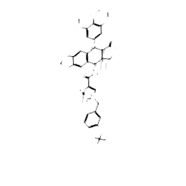 COc1cc([C@@H]2c3cc4c(cc3[C@@H](NC(=O)c3cn(Cc5cccc(OC(F)(F)F)c5)nn3)[C@H]3COC(=O)[C@H]23)OCO4)cc(OC)c1OC